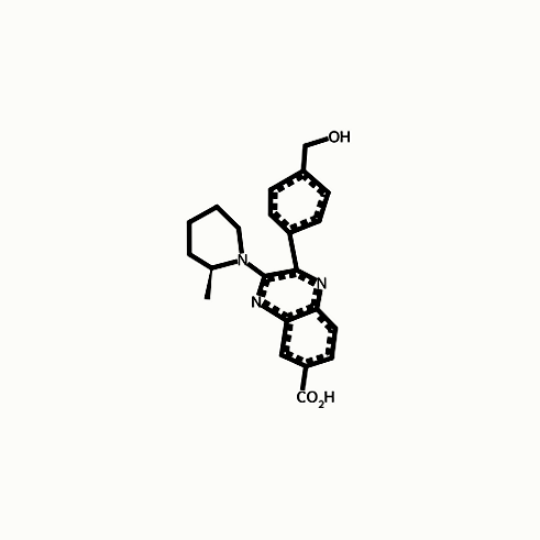 C[C@H]1CCCCN1c1nc2cc(C(=O)O)ccc2nc1-c1ccc(CO)cc1